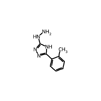 Cc1ccccc1-c1nnc(NN)[nH]1